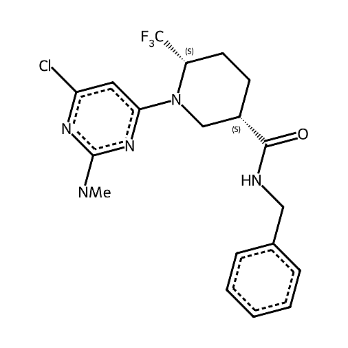 CNc1nc(Cl)cc(N2C[C@@H](C(=O)NCc3ccccc3)CC[C@H]2C(F)(F)F)n1